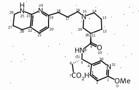 COc1ccc([C@H](CC(=O)O)NC(=O)[C@@H]2CCCN(CCCc3ccc4c(n3)NCCC4)C2)cn1